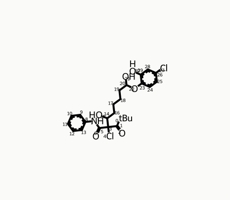 CC(C)(C)C(=O)C(Cl)(C(=O)Nc1ccccc1)C(O)CCCCC(O)Oc1ccc(Cl)cc1O